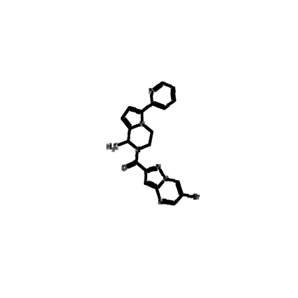 CC1c2ccc(-c3ccccn3)n2CCN1C(=O)c1cc2ncc(Br)cn2n1